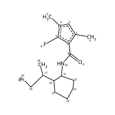 Cc1cn(C)c(F)c1C(=O)NC1CCCCC1C(C)CC(C)C